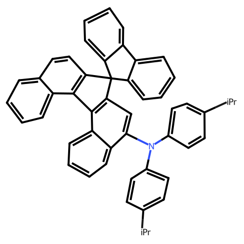 CC(C)c1ccc(N(c2ccc(C(C)C)cc2)c2cc3c(c4ccccc24)-c2c(ccc4ccccc24)C32c3ccccc3-c3ccccc32)cc1